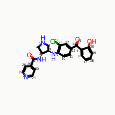 O=C(N[C@@H]1CNC[C@H]1Nc1ccc(C(=O)c2ccccc2O)cc1Cl)c1ccncc1